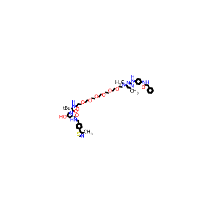 Cc1cc(N(C)CCOCCOCCOCCOCCOCCOCCC(=O)N[C@H](C(=O)N2C[C@H](O)C[C@H]2C(=O)NCc2ccc(-c3scnc3C)cc2)C(C)(C)C)nc(Nc2ccc(NC(=O)Cc3ccccc3)cc2)n1